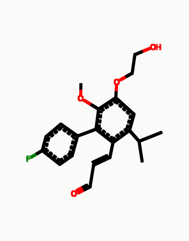 COc1c(OCCO)cc(C(C)C)c(C=CC=O)c1-c1ccc(F)cc1